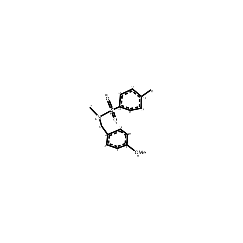 COc1ccc(CN(C)S(=O)(=O)c2ccc(C)cc2)cc1